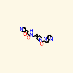 O=C(NCC1CC12CCN(C(=O)c1ccc3ncccc3n1)CC2)c1cc2ccncc2o1